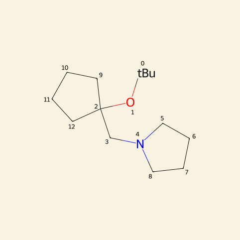 CC(C)(C)OC1(CN2CCCC2)CCCC1